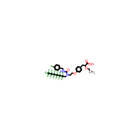 CCOC(Cc1ccc(OCCN(CC(F)(F)C(F)(F)C(F)(F)C(F)(F)C(F)(F)C(F)(F)F)C(=O)NCc2ccc(F)cc2)cc1)C(=O)O